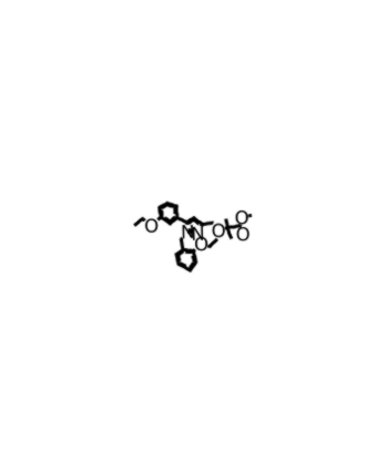 CCOc1cccc(-c2cc(COC(C)(C)C(=O)OC)nn2Cc2ccccc2OCC)c1